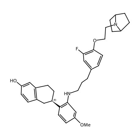 COc1ccc([C@@H]2CCc3cc(O)ccc3C2)c(NCCCc2ccc(OCCN3C4CCC3CC4)c(F)c2)c1